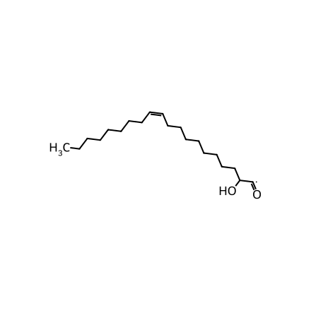 CCCCCCCC/C=C\CCCCCCCCC(O)[C]=O